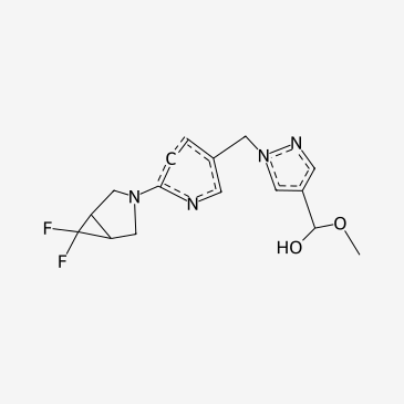 COC(O)c1cnn(Cc2ccc(N3CC4C(C3)C4(F)F)nc2)c1